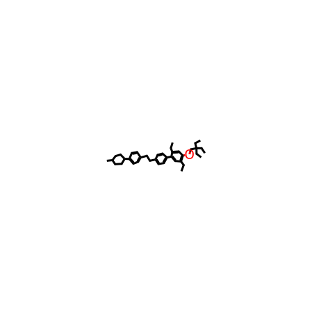 CCc1cc(-c2ccc(CCc3ccc(C4CCC(C)CC4)cc3)cc2)c(CC)cc1OCC(CC)(CC)CC